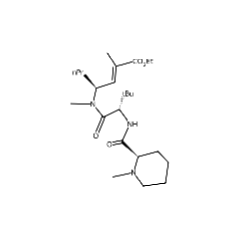 CCC[C@@H](/C=C(\C)C(=O)OCC)N(C)C(=O)[C@@H](NC(=O)[C@H]1CCCCN1C)C(C)(C)C